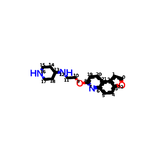 c1cc2c(ccc3nc(OCCNC4CCNCC4)ccc32)o1